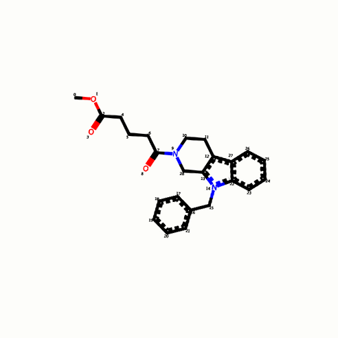 COC(=O)CCCC(=O)N1CCc2c(n(Cc3ccccc3)c3ccccc23)C1